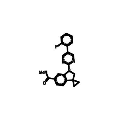 CNC(=O)c1ccc2c(c1)N(c1ncc(-c3ccccc3F)cn1)CC21CC1